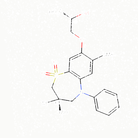 CCCC[C@]1(CC)CN(c2ccccc2)c2cc(SC)c(OC[C@H](O)C(=O)O)cc2S(=O)(=O)C1